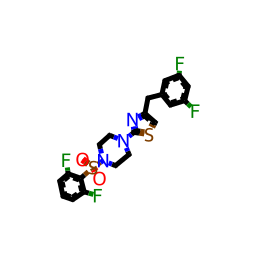 O=S(=O)(c1c(F)cccc1F)N1CCN(c2nc(Cc3cc(F)cc(F)c3)cs2)CC1